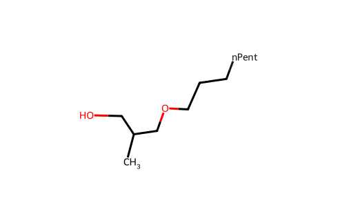 CCCCCCCCOCC(C)CO